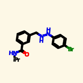 CC(C)NC(=O)c1cccc(CNNc2ccc(Br)cc2)c1